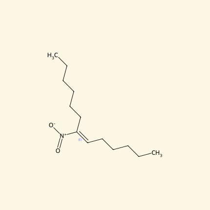 CCCCC/C=C(\CCCCCC)[N+](=O)[O-]